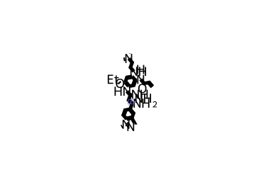 C=CC(=O)Nc1cc(NC(=N)/C=C(\NN)c2ccc3c(cnn3C)c2)c(OCC)cc1NCCN(C)C